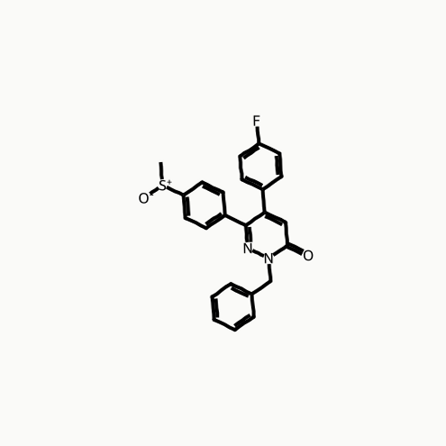 C[S+]([O-])c1ccc(-c2nn(Cc3ccccc3)c(=O)cc2-c2ccc(F)cc2)cc1